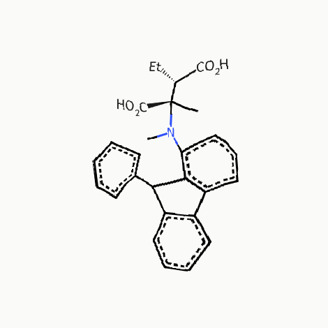 CC[C@H](C(=O)O)[C@@](C)(C(=O)O)N(C)c1cccc2c1C(c1ccccc1)c1ccccc1-2